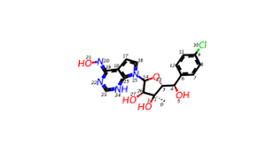 C[C@@]1(O)[C@@H]([C@H](O)c2ccc(Cl)cc2)OC(n2ccc3/c(=N/O)nc[nH]c32)[C@@H]1O